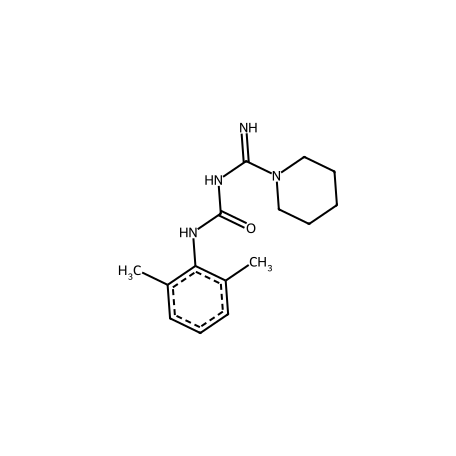 Cc1cccc(C)c1NC(=O)NC(=N)N1CCCCC1